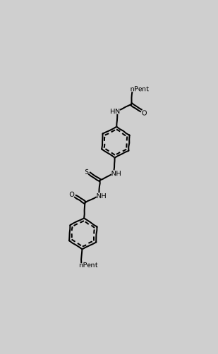 CCCCCC(=O)Nc1ccc(NC(=S)NC(=O)c2ccc(CCCCC)cc2)cc1